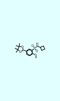 COc1ccc(B2OC(C)(C)C(C)(C)O2)cc1S(=O)(=O)NC1CCC1